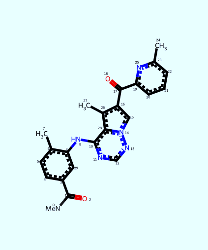 CNC(=O)c1ccc(C)c(Nc2ncnn3cc(C(=O)c4cccc(C)n4)c(C)c23)c1